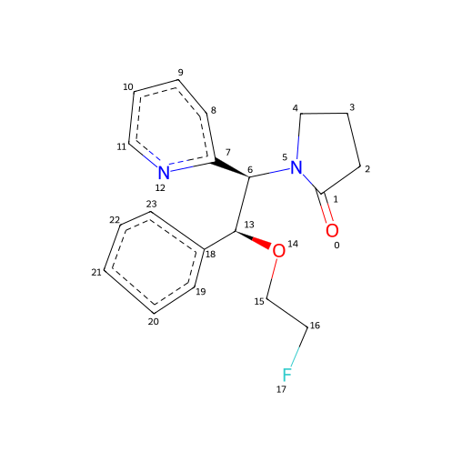 O=C1CCCN1[C@H](c1ccccn1)[C@@H](OCCF)c1ccccc1